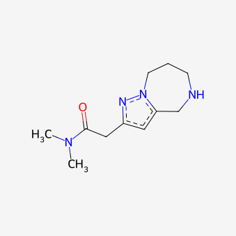 CN(C)C(=O)Cc1cc2n(n1)CCCNC2